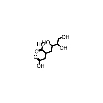 O=C(O)CC(CC(O)C(O)CO)C(=O)O